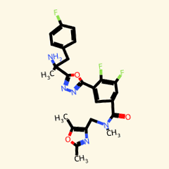 Cc1nc(CN(C)C(=O)c2cc(F)c(F)c(-c3nnc(C(C)(N)Cc4ccc(F)cc4)o3)c2)c(C)o1